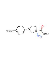 CCCCCCc1ccc([C@@H]2CC[C@](N)(C(=O)OC)C2)cc1